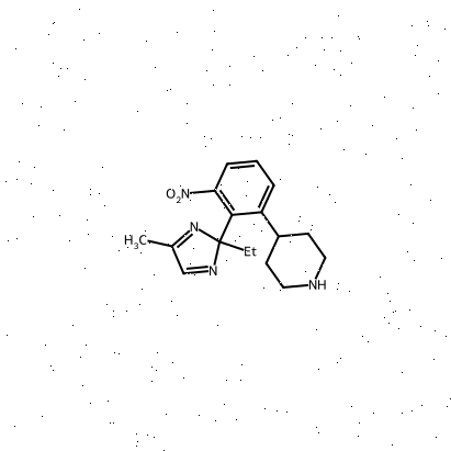 CCC1(c2c(C3CCNCC3)cccc2[N+](=O)[O-])N=CC(C)=N1